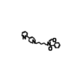 O=C1c2ccccc2OC=CN1CCCCCN1CC=C(c2ccccn2)CC1